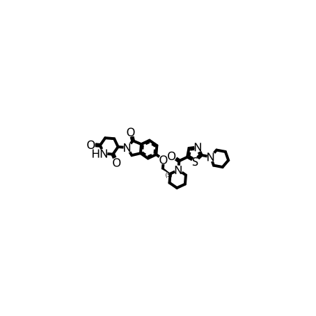 O=C1CCC(N2Cc3cc(OC[C@@H]4CCCCN4C(=O)c4cnc(N5CCCCC5)s4)ccc3C2=O)C(=O)N1